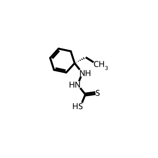 CC[C@]1(NNC(=S)S)C=CC=CC1